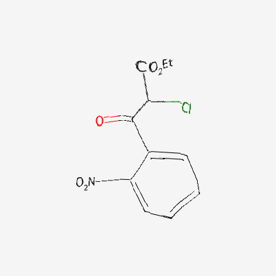 CCOC(=O)C(Cl)C(=O)c1ccccc1[N+](=O)[O-]